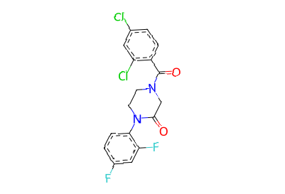 O=C(c1ccc(Cl)cc1Cl)N1CCN(c2ccc(F)cc2F)C(=O)C1